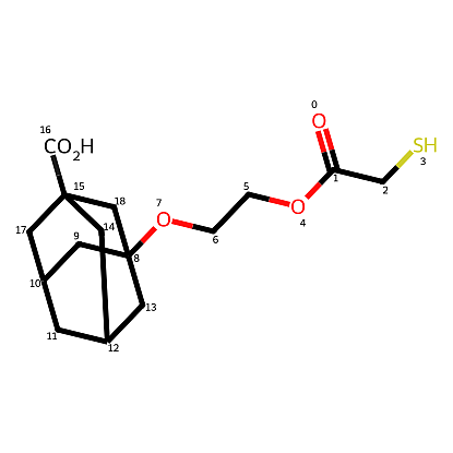 O=C(CS)OCCOC12CC3CC(C1)CC(C(=O)O)(C3)C2